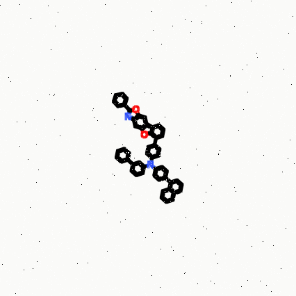 c1ccc(-c2cccc(N(c3ccc(-c4cccc5ccccc45)cc3)c3ccc(-c4cccc5c4oc4cc6nc(-c7ccccc7)oc6cc45)cc3)c2)cc1